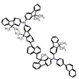 CC1(C)c2ccccc2-c2ccc(N(c3ccc4c(c3)C(C)(C)c3ccccc3-4)c3ccc4c(c3)C(C)(C)c3cc(-c5cccc6c(CC7(C)c8ccccc8-c8ccc(N(c9ccc(-c%10ccc%11ccccc%11c%10)cc9)c9ccc%10c(c9)C(C)(C)c9ccccc9-%10)cc87)cccc56)ccc3-4)cc21